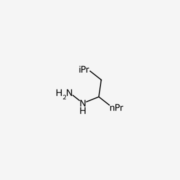 CCCC(CC(C)C)NN